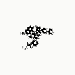 C#Cc1c(F)ccc2cc(O)cc(N3Cc4nc(OC[C@]5(C)C[C@@H](F)CN5C5CCN(C6CCOCC6)CC5)nc(N5CCCCC(NC(=O)C=C)C5)c4OC3=O)c12